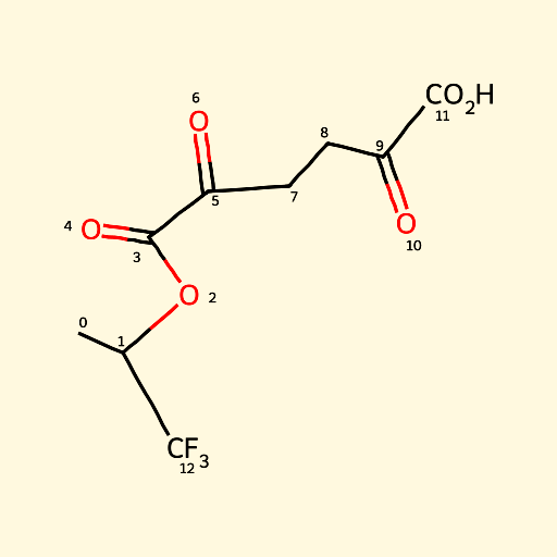 CC(OC(=O)C(=O)CCC(=O)C(=O)O)C(F)(F)F